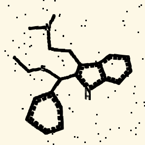 CCSC(c1ccccc1)c1[nH]c2ccccc2c1CCN(C)C